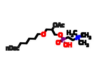 CCCCCCCCCCCCCCCOCC(COP(=O)(O)CC[N+](C)(C)C)OC(C)=O